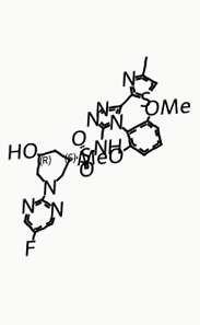 COc1cccc(OC)c1-n1c(NS(=O)(=O)[C@H]2C[C@@H](O)CN(c3ncc(F)cn3)C2)nnc1-c1nc(C)cs1